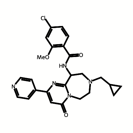 COc1cc(Cl)ccc1C(=O)NC1CN(CC2CC2)CCn2c1nc(-c1ccncc1)cc2=O